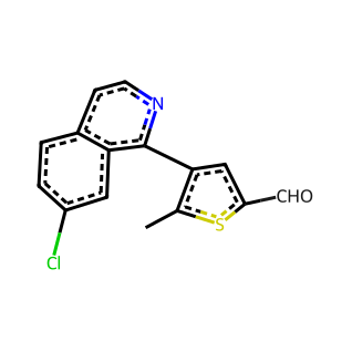 Cc1sc(C=O)cc1-c1nccc2ccc(Cl)cc12